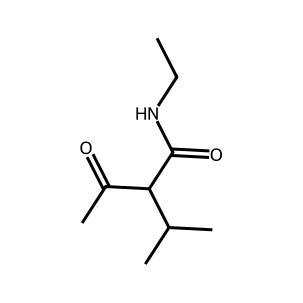 CCNC(=O)C(C(C)=O)C(C)C